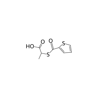 CC(SC(=O)c1cccs1)C(=O)O